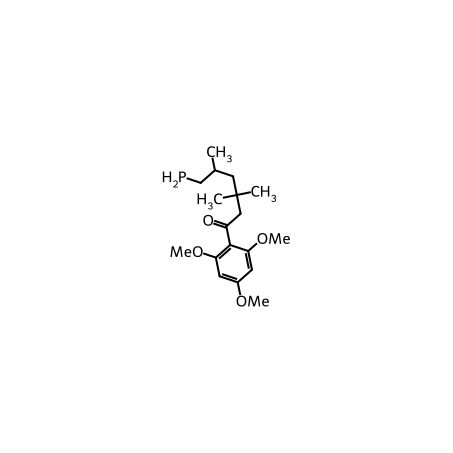 COc1cc(OC)c(C(=O)CC(C)(C)CC(C)CP)c(OC)c1